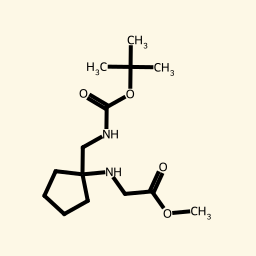 COC(=O)CNC1(CNC(=O)OC(C)(C)C)CCCC1